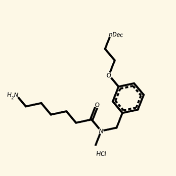 CCCCCCCCCCCCOc1cccc(CN(C)C(=O)CCCCCN)c1.Cl